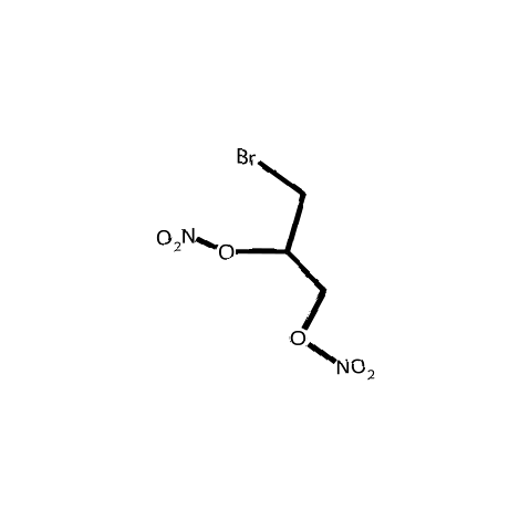 O=[N+]([O-])OCC(CBr)O[N+](=O)[O-]